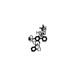 Cc1noc(NS(=O)(=O)c2ccccc2-c2ccc(-c3ncco3)cc2CN(C)C(=O)c2ccccc2Cl)c1C